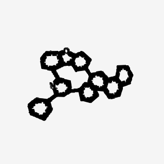 c1ccc(-c2cc(-c3ccccc3)nc(-c3cccc4oc5ccc(-c6ccc7ccc8ccccc8c7c6)cc5c34)c2)cc1